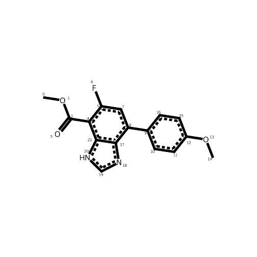 COC(=O)c1c(F)cc(-c2ccc(OC)cc2)c2nc[nH]c12